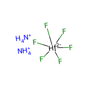 [F][Hf-2]([F])([F])([F])([F])[F].[NH4+].[NH4+]